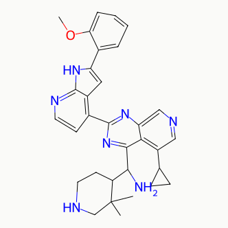 COc1ccccc1-c1cc2c(-c3nc(C(N)C4CCNCC4(C)C)c4c(C5CC5)cncc4n3)ccnc2[nH]1